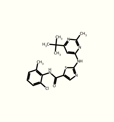 Cc1nc(Nc2ncc(C(=O)Nc3c(C)cccc3Cl)s2)cc(C(C)(C)C)n1